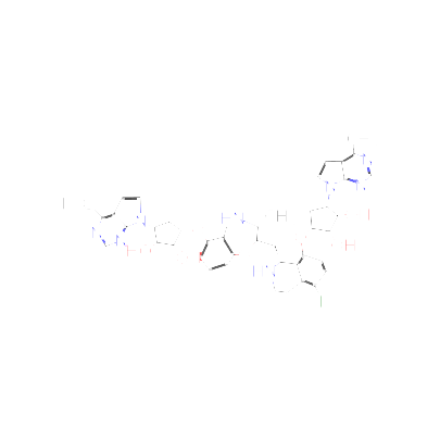 Cc1ncnc2c1ccn2[C@@H]1C[C@H](Oc2cccc3c2CN[C@H](C)C(C[C@@H]2NCCc4c(F)ccc(O[C@H]5C[C@@H](n6ccc7c(C)ncnc76)[C@H](O)[C@@H]5O)c42)O3)[C@@H](O)[C@H]1O